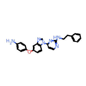 Nc1ccc(Oc2ccc3c(c2)ncn3-c2ccnc(NCCc3ccccc3)n2)cc1